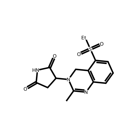 CCS(=O)(=O)c1cccc2c1CN(C1CC(=O)NC1=O)C(C)=N2